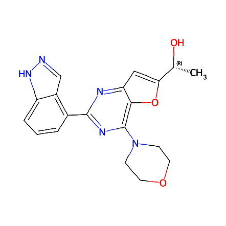 C[C@@H](O)c1cc2nc(-c3cccc4[nH]ncc34)nc(N3CCOCC3)c2o1